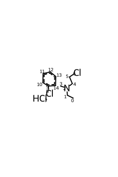 CCN(C)CCCl.Cl.Clc1ccccc1